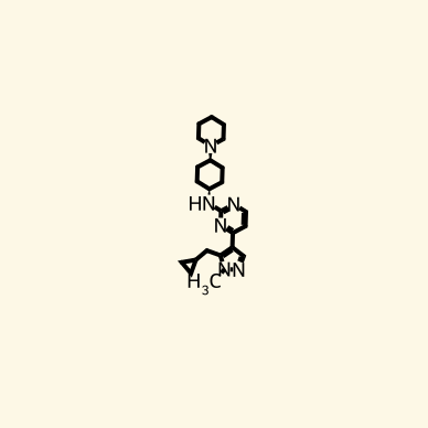 Cn1ncc(-c2ccnc(N[C@H]3CC[C@H](N4CCCCC4)CC3)n2)c1CC1CC1